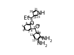 CCC(Oc1ccccc1C(=O)c1ccc(N)c(N)c1)c1cc[nH]c1